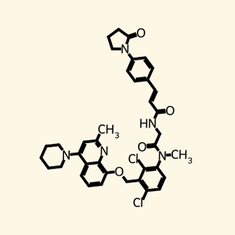 Cc1cc(N2CCCCC2)c2cccc(OCc3c(Cl)ccc(N(C)C(=O)CNC(=O)C=Cc4ccc(N5CCCC5=O)cc4)c3Cl)c2n1